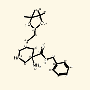 CC1(C)OB(CC[C@H]2CNC[C@@](N)(C(=O)OCc3ccccc3)C2)OC1(C)C